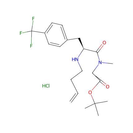 C=CCCN[C@@H](Cc1ccc(C(F)(F)F)cc1)C(=O)N(C)CC(=O)OC(C)(C)C.Cl